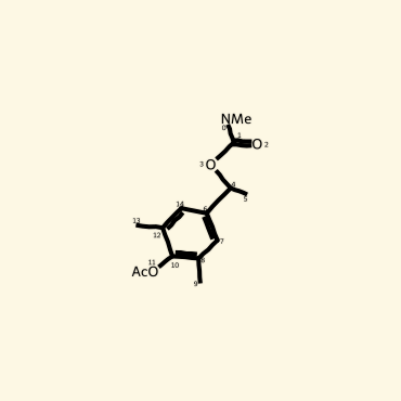 CNC(=O)OC(C)c1cc(C)c(OC(C)=O)c(C)c1